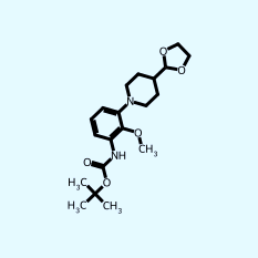 COc1c(NC(=O)OC(C)(C)C)cccc1N1CCC(C2OCCO2)CC1